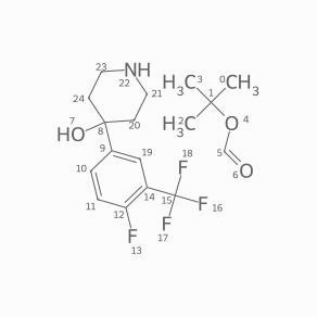 CC(C)(C)OC=O.OC1(c2ccc(F)c(C(F)(F)F)c2)CCNCC1